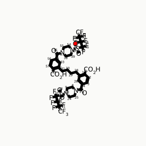 O=C(O)c1ccc(C(=O)N2CCN(S(=O)(=O)C(F)(F)C(F)(F)C(F)(F)C(F)(F)F)CC2)cc1CCCCc1cc(C(=O)N2CCN(S(=O)(=O)C(F)(F)C(F)(F)C(F)(F)C(F)(F)F)CC2)ccc1C(=O)O